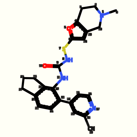 CN1CCc2oc(SNC(=O)Nc3c(-c4ccnc(C#N)c4)ccc4c3CCC4)cc2C1